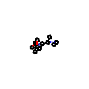 c1ccc(-c2cc(-c3ccc4c(c3)c3ccc5c(c3n4-c3cccc4ccccc34)C(c3ccccc3)(c3ccccc3)c3ccccc3-5)ccc2Nc2cccc3ccccc23)cc1